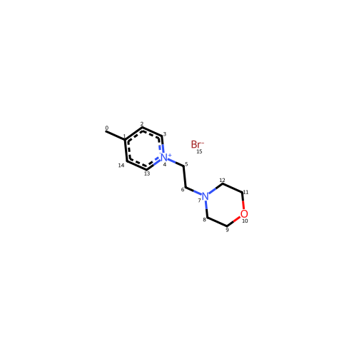 Cc1cc[n+](CCN2CCOCC2)cc1.[Br-]